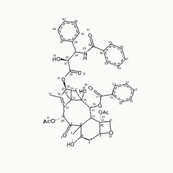 CC(=O)O[C@H]1C(=O)C2(C)C(O)CC3OC[C@]3(OC(C)=O)C2C(OC(=O)c2ccccc2)C2(O)C[C@H](OC(=O)[C@@H](O)C(NC(=O)c3ccccc3)c3ccccc3)C(C)=C1C2(C)C